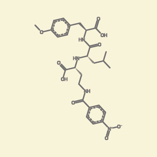 COc1ccc(C[C@H](NC(=O)[C@H](CC(C)C)N[C@H](CCNC(=O)c2ccc([N+](=O)[O-])cc2)C(=O)O)C(=O)O)cc1